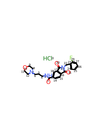 Cl.O=C(NCCCN1CCOCC1)c1ccc2c(c1)C(=O)N(Cc1ccccc1F)C2=O